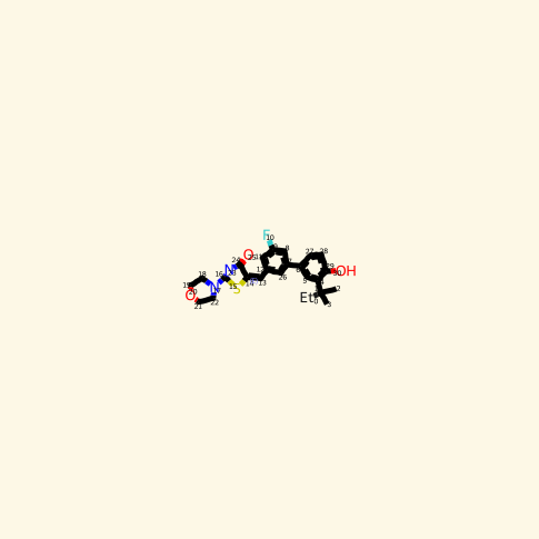 CCC(C)(C)c1cc(-c2cc(F)cc(/C=C3/SC(N4CCOCC4)=NC3=O)c2)ccc1O